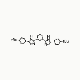 CC(C)(C)c1ccc(-c2cnc(-c3cccc(-c4ncc(-c5ccc(C(C)(C)C)cc5)[nH]4)c3)[nH]2)cc1